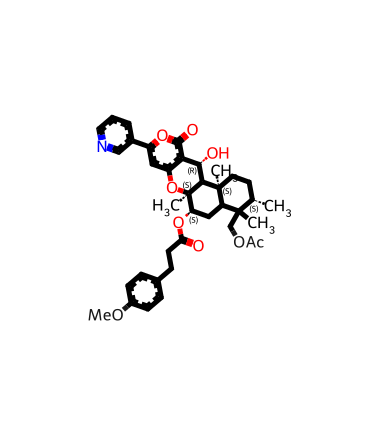 COc1ccc(CCC(=O)O[C@H]2CC3C(C)(COC(C)=O)[C@@H](C)CC[C@]3(C)C3[C@@H](O)c4c(cc(-c5cccnc5)oc4=O)O[C@@]32C)cc1